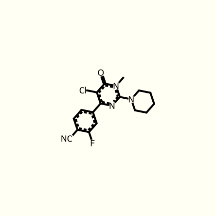 Cn1c(N2CCCCC2)nc(-c2ccc(C#N)c(F)c2)c(Cl)c1=O